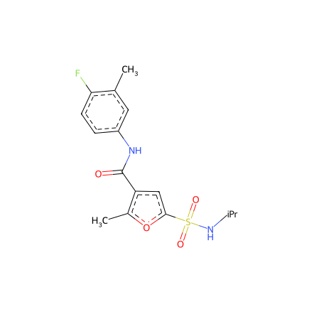 Cc1cc(NC(=O)c2cc(S(=O)(=O)NC(C)C)oc2C)ccc1F